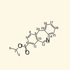 CC(C)OC(=O)c1ccc2c(c1)C=Nc1ccccc1C2